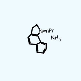 CCCN1CCc2ccc3ccccc3c21.N